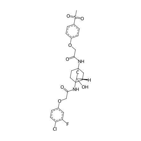 CS(=O)(=O)c1ccc(OCC(=O)NC23CCC(NC(=O)COc4ccc(Cl)c(F)c4)(CC2)[C@@H](O)C3)cc1